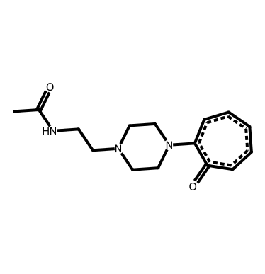 CC(=O)NCCN1CCN(c2cccccc2=O)CC1